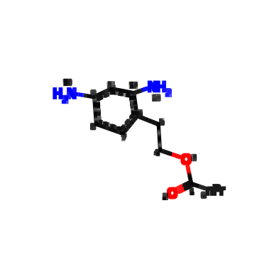 CCCC(=O)OCCc1ccc(N)cc1N